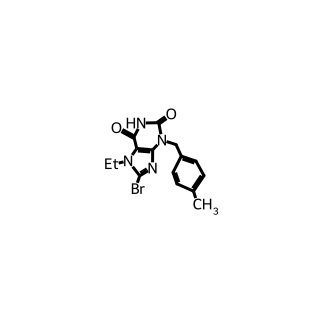 CCn1c(Br)nc2c1c(=O)[nH]c(=O)n2Cc1ccc(C)cc1